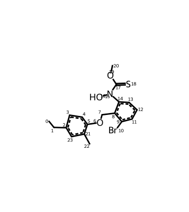 CCc1ccc(OCc2c(Br)cccc2N(O)C(=S)OC)c(C)c1